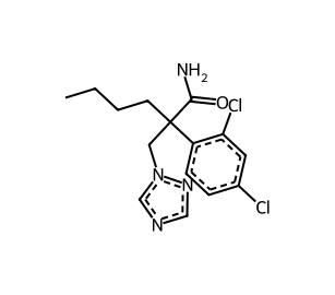 CCCCC(Cn1cncn1)(C(N)=O)c1ccc(Cl)cc1Cl